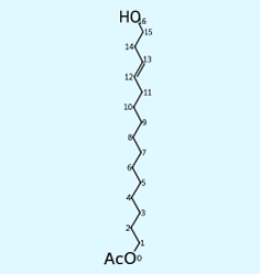 CC(=O)OCCCCCCCCCCC/C=C/CCO